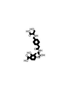 O=C(Cc1ccc(CNC(CO)C(=O)O)cc1)N[C@@H](Cc1cccc(C(=O)O)c1O)B(O)O